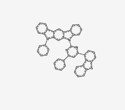 c1ccc(-c2cc(-c3cccc4sc5ccccc5c34)nc(-n3c4ccccc4c4cc5c6ccccc6n(-c6ccccc6)c5cc43)n2)cc1